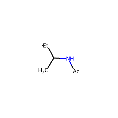 C[CH]C(C)NC(C)=O